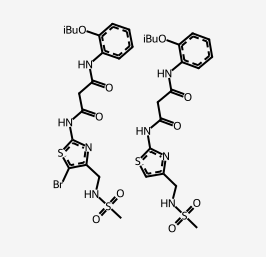 CC(C)COc1ccccc1NC(=O)CC(=O)Nc1nc(CNS(C)(=O)=O)c(Br)s1.CC(C)COc1ccccc1NC(=O)CC(=O)Nc1nc(CNS(C)(=O)=O)cs1